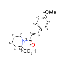 COc1ccc(/C=C/C(=O)N2CCCCC2C(=O)O)cc1